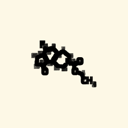 CCOC(=O)N1CCc2cc(F)c3c(c2CC1)C(=O)CC3